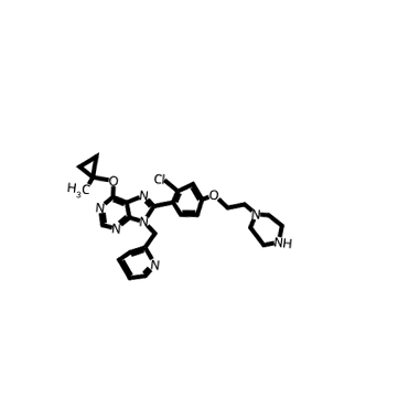 CC1(Oc2ncnc3c2nc(-c2ccc(OCCN4CCNCC4)cc2Cl)n3Cc2ccccn2)CC1